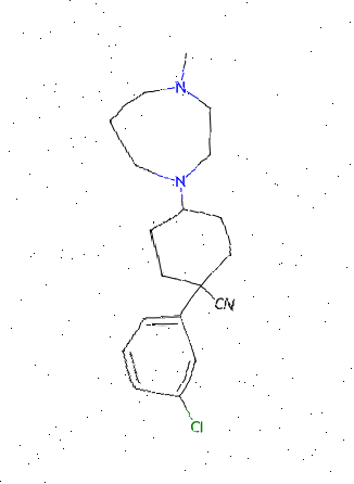 CN1CCCN(C2CCC(C#N)(c3cccc(Cl)c3)CC2)CC1